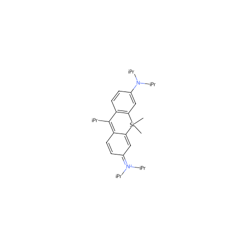 CC(C)C1=C2C=CC(=[N+](C(C)C)C(C)C)C=C2[Si](C)(C)c2cc(N(C(C)C)C(C)C)ccc21